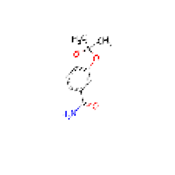 CC1(C)Oc2ccc(C(N)=O)cc2O1